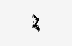 O=S(=O)(c1ccc(F)cc1)n1cc(CCNCc2cccc(OCC(F)(F)C(F)F)c2)c2ccc(F)cc21